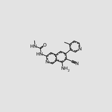 CNC(=O)Nc1cc2cc(-c3cnccc3C)c(C#N)c(N)c2cn1